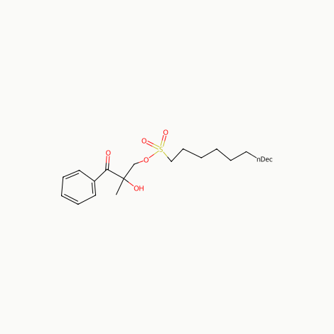 CCCCCCCCCCCCCCCCS(=O)(=O)OCC(C)(O)C(=O)c1ccccc1